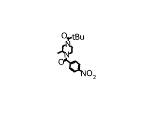 CC1CN(C(=O)C(C)(C)C)CCN1C(=O)c1ccc([N+](=O)[O-])cc1